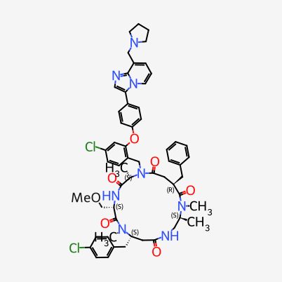 COC[C@@H]1NC(=O)[C@H](C)N(Cc2ccc(Cl)cc2Oc2ccc(-c3cnc4c(CN5CCCC5)cccn34)cc2)C(=O)C[C@@H](Cc2ccccc2)C(=O)N(C)[C@@H](C)CNC(=O)C[C@H](Cc2ccc(Cl)cc2)N(C)C1=O